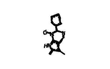 Cc1[nH]c2c(c1C)C=NC(c1ccccc1)N2Cl